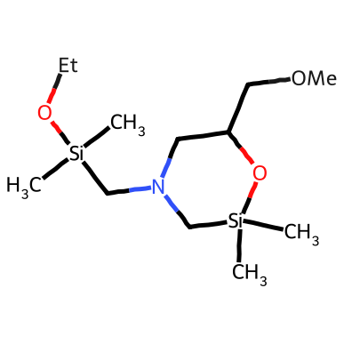 CCO[Si](C)(C)CN1CC(COC)O[Si](C)(C)C1